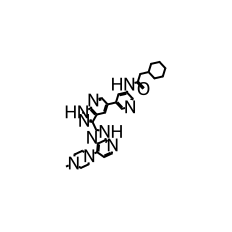 CN1CCN(c2ccnc3[nH]c(-c4n[nH]c5ncc(-c6cncc(NC(=O)CC7CCCCC7)c6)cc45)nc23)CC1